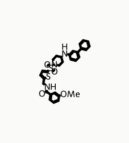 COc1cccc(C(=O)NCc2ccc(S(=O)(=O)N3CCC(Nc4cccc(-c5ccccc5)c4)CC3)s2)c1